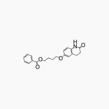 O=C1CCc2cc(OCCCCOC(=O)c3ccccc3)ccc2N1